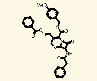 COc1ccc(COC(=O)C2=C(COOC(=O)c3ccccc3)CSC3C(NC(=O)Cc4ccccc4)C(=O)N23)cc1